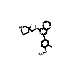 COc1ccc(-c2cc3nccnc3c(NCC3(F)CCCNC3)n2)cc1F